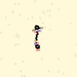 CC(C)c1cccc(C(C)C)c1NC(=O)CCCCCSc1nc2cc(O)ccc2o1